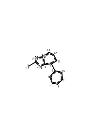 Ic1nc2c(-c3ccccc3)cccn2n1